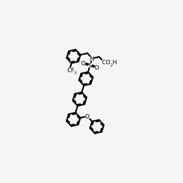 O=C(O)CN(Cc1cccc(C(F)(F)F)c1)S(=O)(=O)c1ccc(-c2ccc(-c3ccccc3Oc3ccccc3)cc2)cc1